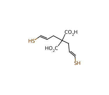 O=C(O)C(CC=CS)(CC=CS)C(=O)O